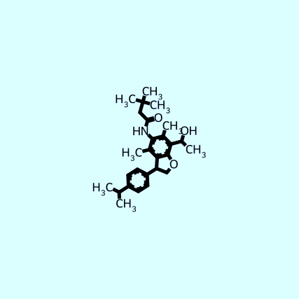 Cc1c(NC(=O)CC(C)(C)C)c(C)c2c(c1C(C)O)OCC2c1ccc(C(C)C)cc1